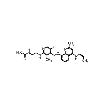 C/C=C\Nc1cc(C)nc2c(OCc3c(Cl)cnc(NCCNC(C)=O)c3C)cccc12